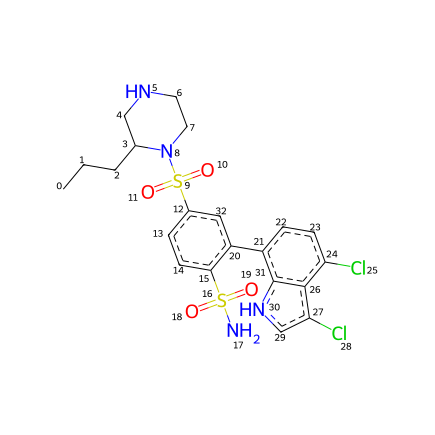 CCCC1CNCCN1S(=O)(=O)c1ccc(S(N)(=O)=O)c(-c2ccc(Cl)c3c(Cl)c[nH]c23)c1